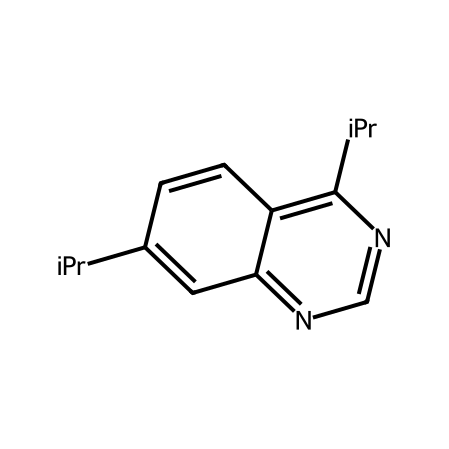 CC(C)c1ccc2c(C(C)C)ncnc2c1